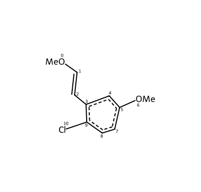 COC=Cc1cc(OC)ccc1Cl